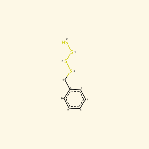 SSSSCc1ccccc1